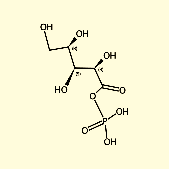 O=C(OP(=O)(O)O)[C@H](O)[C@@H](O)[C@H](O)CO